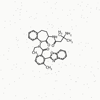 CCN(C(=O)c1cccc(C)c1-c1nc2ccccc2o1)N1C(=O)C(NC(=O)CC(C)(C)N)CCc2ccccc21